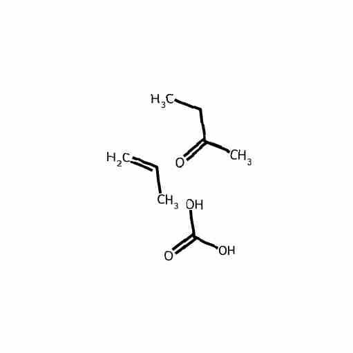 C=CC.CCC(C)=O.O=C(O)O